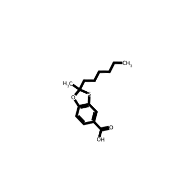 CCCCCCC1(C)Oc2ccc(C(=O)O)cc2S1